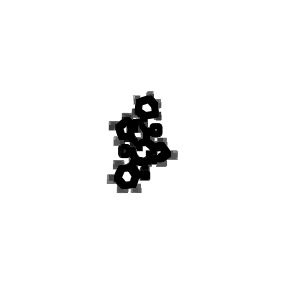 O=C(NC1CCCCC1)C1c2cccn2-c2sc3c(c2C(=O)N1C1CCCC1)CCCC3